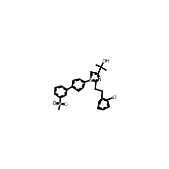 CC(C)(O)c1cn(-c2ccc(-c3cccc(S(C)(=O)=O)c3)cc2)c(CCc2ccccc2Cl)n1